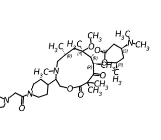 CO[C@]1(C)C[C@@H](C)CN(C)C(C2CCN(C(=O)CN3CCCC3)CC2)COC(=O)C(C)(C)C(=O)[C@H](C)[C@H]1O[C@H]1C[C@@H](N(C)C)C[C@@H](C)O1